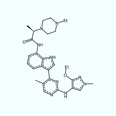 CCOc1nn(C)cc1Nc1ncc(C)c(-c2c[nH]c3c(NC(=O)[C@@H](C)N4CCN(CC)CC4)cccc23)n1